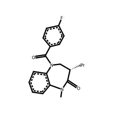 CC(C)[C@H]1CN(C(=O)c2ccc(F)cc2)c2ccccc2N(C)C1=O